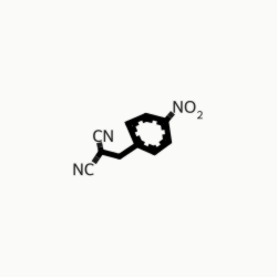 N#CC(C#N)Cc1ccc([N+](=O)[O-])cc1